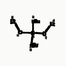 CCCC[Si](CCCC)(OCC)OCC